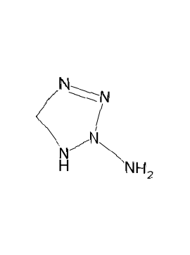 NN1N=NCN1